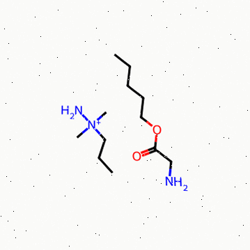 CCCCCOC(=O)CN.CCC[N+](C)(C)N